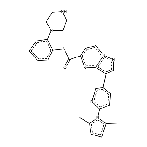 Cc1ccc(C)n1-c1ccc(-c2cnn3ccc(C(=O)Nc4ccccc4N4CCNCC4)nc23)cn1